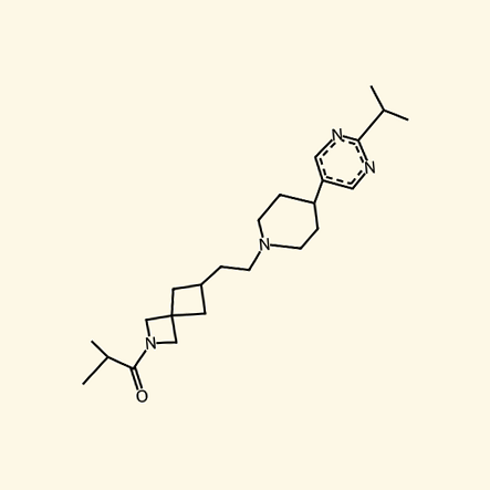 CC(C)C(=O)N1CC2(CC(CCN3CCC(c4cnc(C(C)C)nc4)CC3)C2)C1